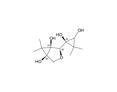 CC1(C)C(O)[C@@]1(O)[C@H]1O[CH][C@]2(O)C(C)(C)[C@]12O